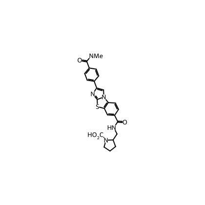 CNC(=O)c1ccc(-c2cn3c(n2)sc2cc(C(=O)NCC4CCCN4C(=O)O)ccc23)cc1